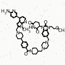 COCCn1c(=O)n(C2CCC(=O)NC2=O)c2ccc(CN3CCN(CC4CCN(C(=O)c5ccc(C6CCN(Cc7cc8c(-c9ccc(N)nc9)ccnc8n7C)CC6)cc5)CC4)CC3)cc21